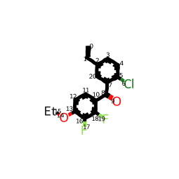 C=Cc1ccc(Cl)c(C(=O)c2ccc(OCC)c(F)c2F)c1